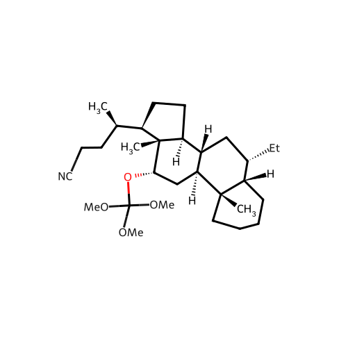 CC[C@H]1C[C@@H]2[C@H](C[C@H](OC(OC)(OC)OC)[C@]3(C)[C@@H]([C@H](C)CCC#N)CC[C@@H]23)[C@@]2(C)CCCC[C@@H]12